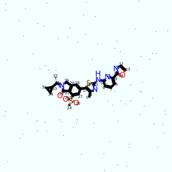 Cc1nc(Nc2cccc(-c3ncco3)n2)sc1-c1cc2c(c(S(C)(=O)=O)c1)C(=O)N([C@@H](C)C1CC1)C2